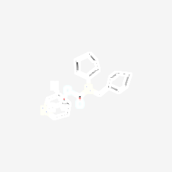 O=C(O[C@@H]1CN2CCC1CC2)N(Cc1ccccc1)c1ccccc1